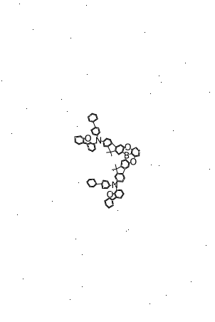 CC1(C)c2cc(N(c3ccc(-c4ccccc4)cc3)c3cccc4c3oc3ccccc34)ccc2-c2cc3c(cc21)B1c2cc4c(cc2Oc2cccc(c21)O3)-c1ccc(N(c2ccc(-c3ccccc3)cc2)c2cccc3c2oc2ccccc23)cc1C4(C)C